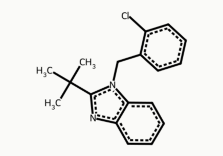 CC(C)(C)c1nc2ccccc2n1Cc1ccccc1Cl